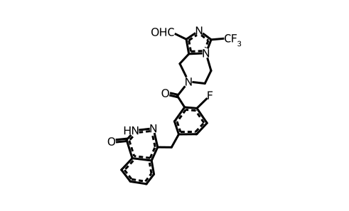 O=Cc1nc(C(F)(F)F)n2c1CN(C(=O)c1cc(Cc3n[nH]c(=O)c4ccccc34)ccc1F)CC2